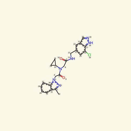 Cc1nn(CC(=O)N(CC(=O)NCc2cc(Cl)c3[nH]ncc3c2)C2CC2)c2ccccc12